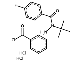 CC(C)(C)N(N)C(=O)c1ccc(F)cc1.Cl.Cl.O=C(Cl)c1ccccc1